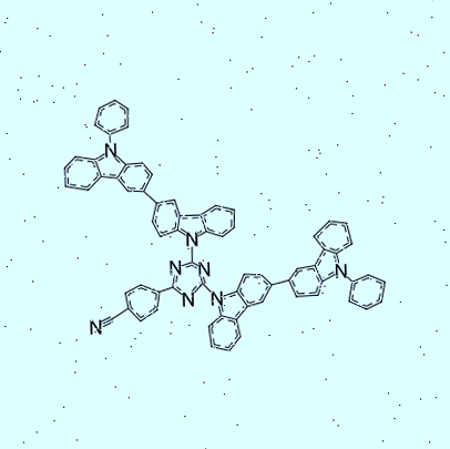 N#Cc1ccc(-c2nc(-n3c4ccccc4c4cc(-c5ccc6c(c5)c5ccccc5n6-c5ccccc5)ccc43)nc(-n3c4ccccc4c4cc(-c5ccc6c(c5)c5ccccc5n6-c5ccccc5)ccc43)n2)cc1